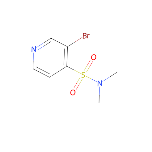 CN(C)S(=O)(=O)c1ccncc1Br